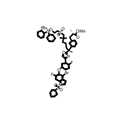 COC(=O)[C@@H](C)Cc1cccc([C@@](C)(CCCC(C)(C)CS(=O)(=O)CCO[Si](c2ccccc2)(c2ccccc2)C(C)(C)C)c2nc(-c3cc(Oc4c(F)cc5c(ccn5S(=O)(=O)c5ccccc5)c4Br)ccc3F)co2)c1